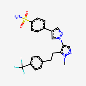 Cn1ncc(-n2cc(-c3ccc(S(N)(=O)=O)cc3)cn2)c1CCc1ccc(C(F)(F)F)cc1